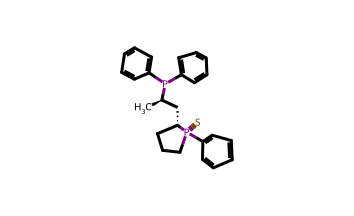 C[C@H](C[C@H]1CCCP1(=S)c1ccccc1)P(c1ccccc1)c1ccccc1